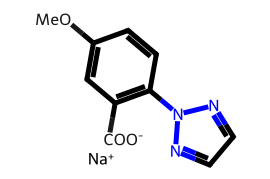 COc1ccc(-n2nccn2)c(C(=O)[O-])c1.[Na+]